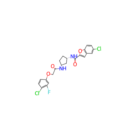 O=C(COc1ccc(Cl)c(F)c1)N[C@@H]1CC[C@H](NC(=O)c2cc3cc(Cl)ccc3o2)C1